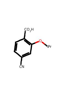 CC(C)Oc1cc(C#N)ccc1C(=O)O